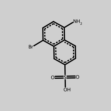 Nc1ccc(Br)c2cc(S(=O)(=O)O)ccc12